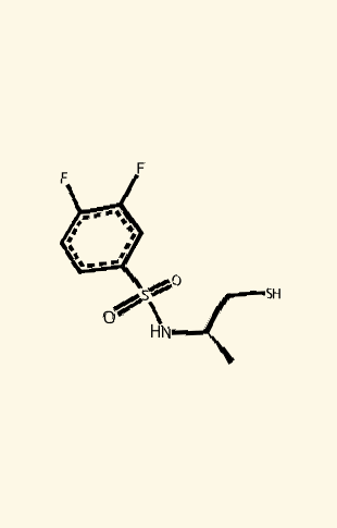 C[C@H](CS)NS(=O)(=O)c1ccc(F)c(F)c1